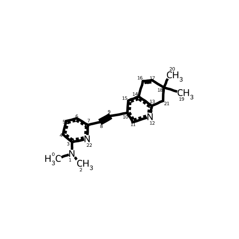 CN(C)c1cccc(C#Cc2cnc3c(c2)C=CC(C)(C)C3)n1